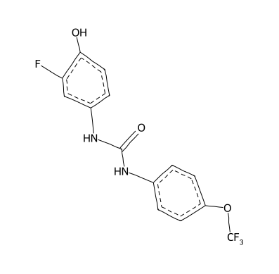 O=C(Nc1ccc(OC(F)(F)F)cc1)Nc1ccc(O)c(F)c1